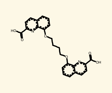 O=C(O)c1ccc2cccc(OCCCCOc3cccc4ccc(C(=O)O)nc34)c2n1